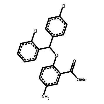 COC(=O)c1cc(N)ccc1OC(c1ccc(Cl)cc1)c1ccccc1Cl